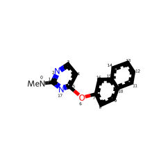 CNc1nccc(Oc2ccc3ccccc3c2)n1